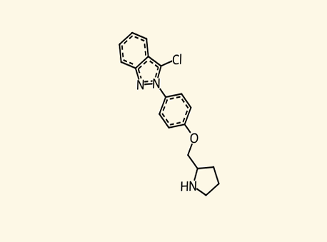 Clc1c2ccccc2nn1-c1ccc(OCC2CCCN2)cc1